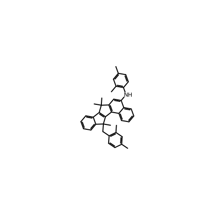 Cc1ccc(CC2(C)C3=C(c4ccccc42)C(C)(C)c2cc(Nc4ccc(C)cc4C)c4ccccc4c23)c(C)c1